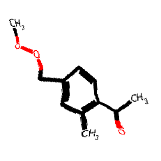 COOCc1ccc(C(C)=O)c(C)c1